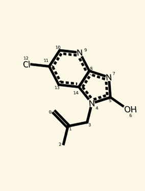 C=C(C)Cn1c(O)nc2ncc(Cl)cc21